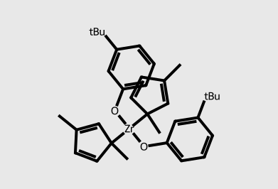 CC1=C[C](C)([Zr]([O]c2cccc(C(C)(C)C)c2)([O]c2cccc(C(C)(C)C)c2)[C]2(C)C=CC(C)=C2)C=C1